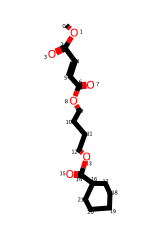 COC(=O)C=CC(=O)OCCCCOC(=O)C1CCCCC1